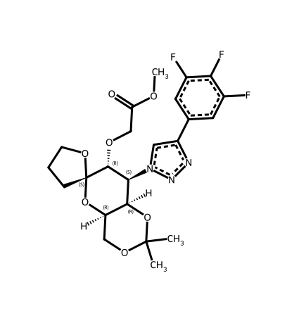 COC(=O)CO[C@@H]1[C@@H](n2cc(-c3cc(F)c(F)c(F)c3)nn2)[C@H]2OC(C)(C)OC[C@H]2O[C@@]12CCCO2